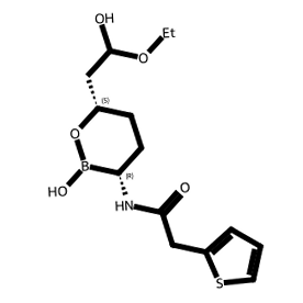 CCOC(O)C[C@@H]1CC[C@H](NC(=O)Cc2cccs2)B(O)O1